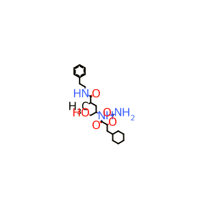 CC(CC(CO)NC(=O)C(CC1CCCCC1)OC(N)=O)C(=O)NCCc1ccccc1